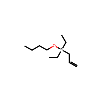 C=CC[Si](CC)(CC)OCCCC